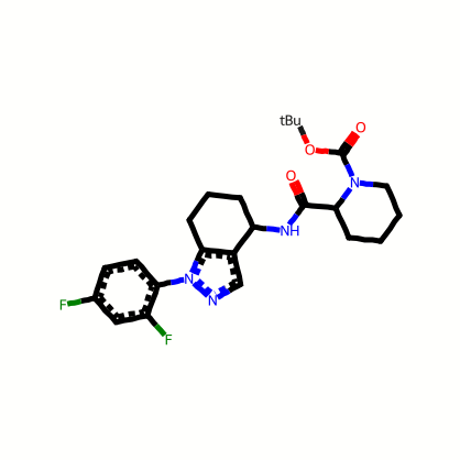 CC(C)(C)OC(=O)N1CCCCC1C(=O)NC1CCCc2c1cnn2-c1ccc(F)cc1F